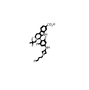 C[C@@H]1Cc2c([nH]c3cc(C(=O)O)ccc23)[C@@H](c2c(F)cc(NC3CN(CCCF)C3)cc2F)N1CC(C)(F)F